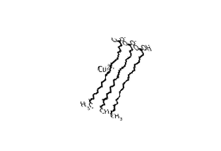 CCCCCCCCCCCCCCCCCC(=O)O.CCCCCCCCCCCCCCCCCC(=O)[O-].CCCCCCCCCCCCCCCCCC(=O)[O-].[Cu+2]